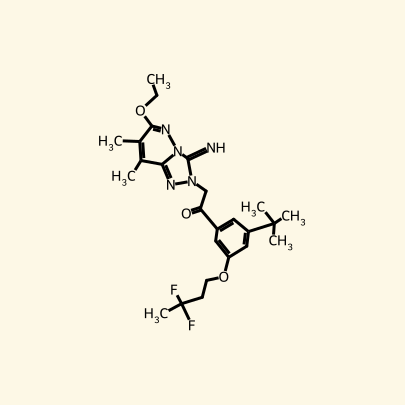 CCOc1nn2c(=N)n(CC(=O)c3cc(OCCC(C)(F)F)cc(C(C)(C)C)c3)nc2c(C)c1C